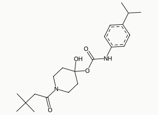 CC(C)c1ccc(NC(=O)OC2(O)CCN(C(=O)CC(C)(C)C)CC2)cc1